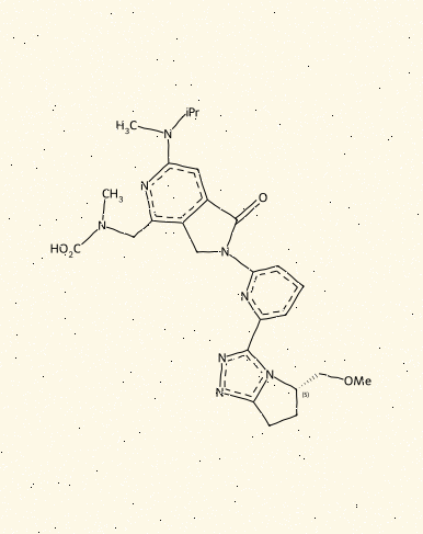 COC[C@@H]1CCc2nnc(-c3cccc(N4Cc5c(cc(N(C)C(C)C)nc5CN(C)C(=O)O)C4=O)n3)n21